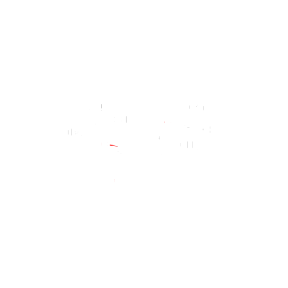 CC(C)(C)[Si](C)(C)O[C@@H]1CCC(=O)[C@@H](O[Si](C)(C)C(C)(C)C)C1